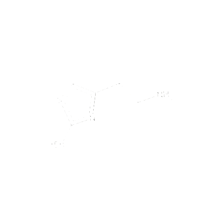 CC(C)(C)c1nc(CCN)cs1